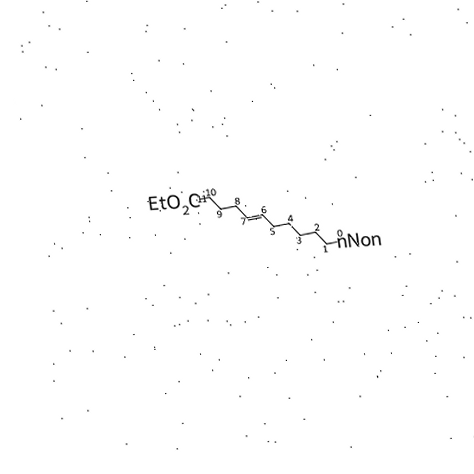 CCCCCCCCCCCCCCC=CCCCC(=O)OCC